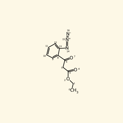 CCOC(=O)CC(=O)c1ccccc1N=[N+]=[N-]